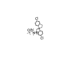 CC(=O)OC(C)(C)CN(C)C(=O)C[C@]1(c2ccc(Cl)cc2)CCc2cc(Cl)ccc21